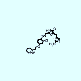 Nc1ncc(C=c2sc(=CN=Nc3ccc(OCCC4CCCCN4)cc3Cl)[nH]c2=O)s1